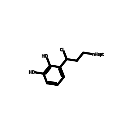 CCCCCCCCCC(Cl)c1cccc(O)c1O